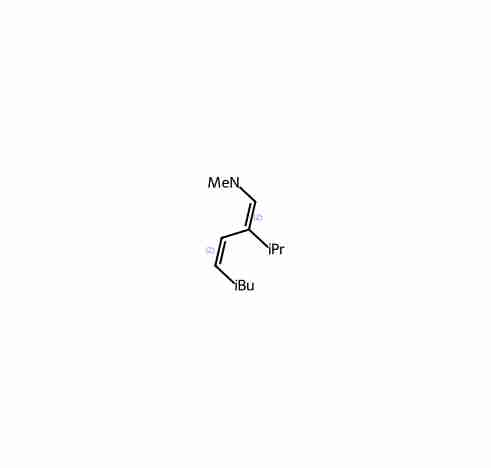 CCC(C)/C=C\C(=C/NC)C(C)C